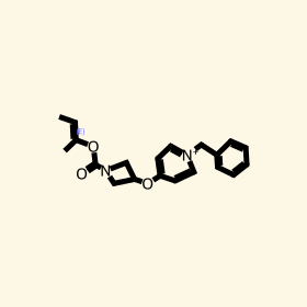 C/C=C(\C)OC(=O)N1CC(Oc2cc[n+](Cc3ccccc3)cc2)C1